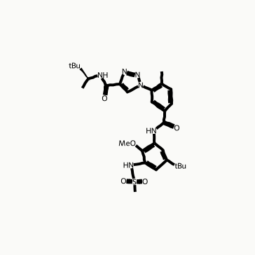 COc1c(NC(=O)c2ccc(C)c(-n3cc(C(=O)N[C@@H](C)C(C)(C)C)nn3)c2)cc(C(C)(C)C)cc1NS(C)(=O)=O